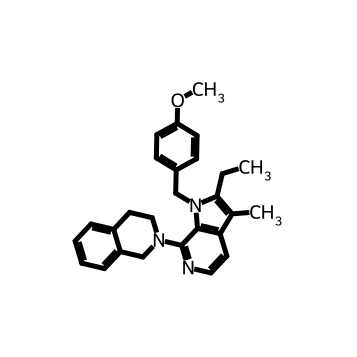 CCc1c(C)c2ccnc(N3CCc4ccccc4C3)c2n1Cc1ccc(OC)cc1